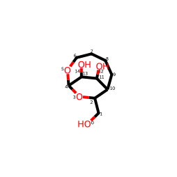 OCC1OC2OCCCCC1C(O)C2O